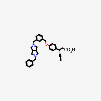 CC#C[C@@H](CC(=O)O)c1ccc(OCc2cccc(CN3CC4CN(Cc5ccccc5)CC4C3)c2)cc1